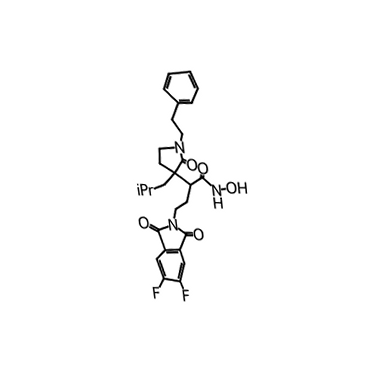 CC(C)CC1(C(CCN2C(=O)c3cc(F)c(F)cc3C2=O)C(=O)NO)CCN(CCc2ccccc2)C1=O